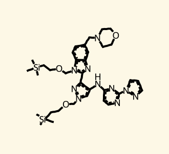 C[Si](C)(C)CCOCn1cc(Nc2ccnc(-n3cccn3)n2)c(-c2nc3cc(CN4CCOCC4)ccc3n2COCC[Si](C)(C)C)n1